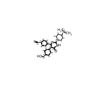 CN(C)C1CCN(c2nc(-c3ccc(C#N)cc3)c(-c3ccc(CO)cc3)c(=O)[nH]2)CC1